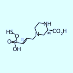 O=C(O)[C@H]1CN(C/C=C/P(=O)(O)OS)CCN1